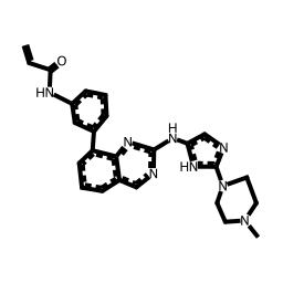 C=CC(=O)Nc1cccc(-c2cccc3cnc(Nc4cnc(N5CCN(C)CC5)[nH]4)nc23)c1